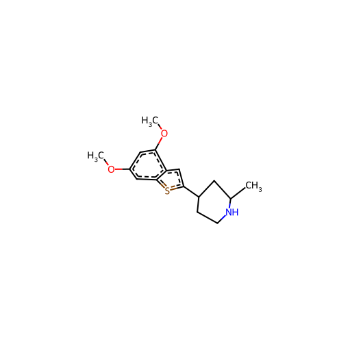 COc1cc(OC)c2cc(C3CCNC(C)C3)sc2c1